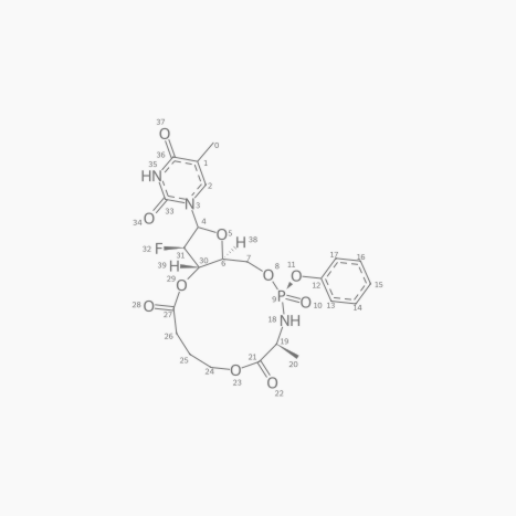 Cc1cn(C2O[C@H]3CO[P@@](=O)(Oc4ccccc4)N[C@@H](C)C(=O)OCCCC(=O)O[C@@H]3[C@H]2F)c(=O)[nH]c1=O